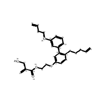 C=CCCCc1ccc(OCCOC(=O)C(=C)CO)cc1-c1cccc(OCCC=C)c1